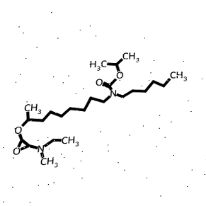 CCCCCCN(CCCCCCCC(C)OC1OC1N(C)CC)C(=O)OC(C)C